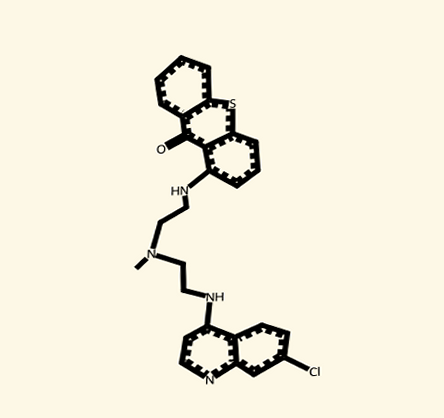 CN(CCNc1ccnc2cc(Cl)ccc12)CCNc1cccc2sc3ccccc3c(=O)c12